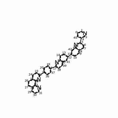 c1cncc(-c2ccc3ccc(-c4ccc5nc(-c6ccc(-c7ccc8ccc9cccnc9c8n7)cc6)ccc5c4)cc3n2)c1